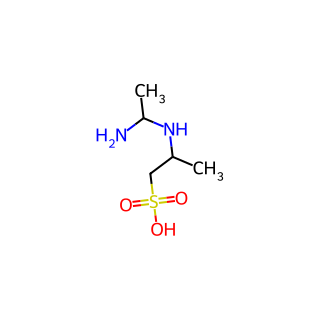 CC(N)NC(C)CS(=O)(=O)O